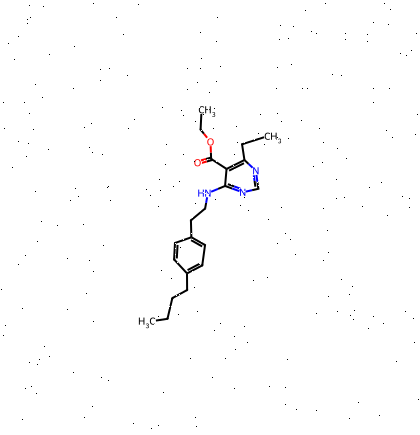 CCCCc1ccc(CCNc2ncnc(CC)c2C(=O)OCC)cc1